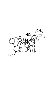 COc1c(C)cc2c(c1O)C1[C@@H]3[C@@H]4SC[C@]5(N[C@@H](CO)Cc6c5oc5ccccc65)C(=O)OC[C@@H](c5c6c(c(C)c(OC(C)=O)c54)OCO6)N3C(C#N)(C2)CN1C